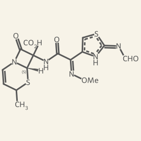 CON=C(C(=O)NC1(C(=O)O)C(=O)N2C=CC(C)S[C@H]21)c1csc(=NC=O)[nH]1